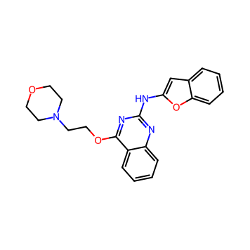 c1ccc2oc(Nc3nc(OCCN4CCOCC4)c4ccccc4n3)cc2c1